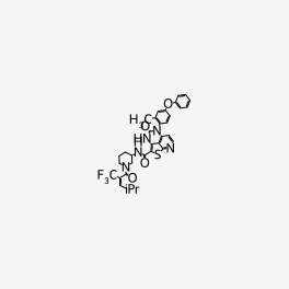 Cc1cc(Oc2ccccc2)ccc1N1C(=O)Nc2c(C(=O)N[C@@H]3CCCN(C(=O)/C(=C\C(C)C)C(F)(F)F)C3)sc3nccc1c23